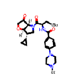 CCN1CCN(c2ccc(C(=O)NC(CC(C)(C)C)C(=O)N3C[C@H](C4CC4)[C@H]4OCC(=O)[C@H]43)cc2)CC1